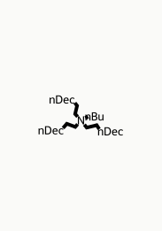 CCCCCCCCCCCC[N+](CCCC)(CCCCCCCCCCCC)CCCCCCCCCCCC